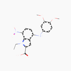 CCn1c(C(=O)O)cc2c(Nc3ccc(OC)c(OC)c3)ccc([N+](=O)[O-])c21